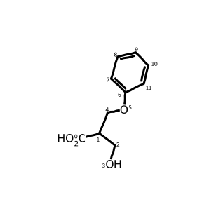 O=C(O)C(CO)COc1ccccc1